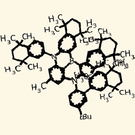 Cc1cc2c3c(c1)N(c1ccc(C(C)(C)C)cc1-c1cc4c(cc1C)C(C)(C)CCC4(C)C)c1sc4cc5c(cc4c1B3c1cc3c(cc1N2c1ccc2c(c1)C(C)(C)CCC2(C)C)C(C)(C)CCC3(C)C)C(C)(C)CCC5(C)C